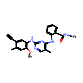 C#Cc1cc(Nc2ncc(C)c(Nc3ccccc3C(=O)NC(C)C)n2)c(OC(C)C)cc1C